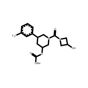 COC(=O)OC1CC(c2cccc(C(F)(F)F)c2)CN(C(=O)N2CC(O)C2)C1